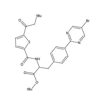 CC(C)(C)CC(=O)c1ccc(C(=O)NC(Cc2ccc(-c3ncc(Br)cn3)cc2)C(=O)OC(C)(C)C)s1